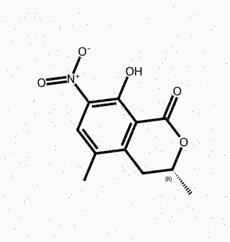 Cc1cc([N+](=O)[O-])c(O)c2c1C[C@@H](C)OC2=O